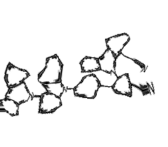 N#Cc1ccc(-c2ccc(-n3c4ccccc4c4c(-n5c6ccccc6c6ccccc65)cccc43)cc2)c(-n2c3ccccc3c3cccc(C#N)c32)c1